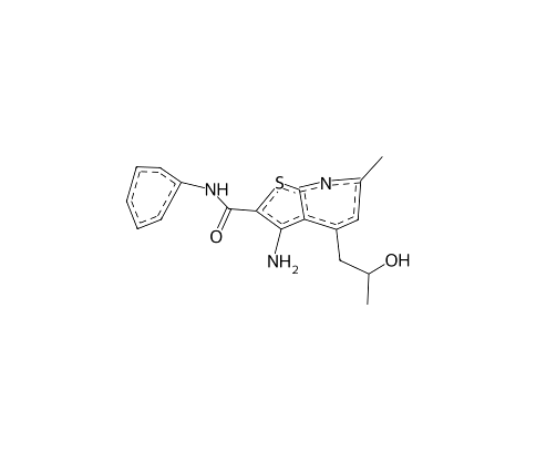 Cc1cc(CC(C)O)c2c(N)c(C(=O)Nc3ccccc3)sc2n1